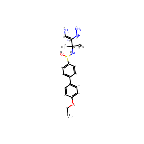 CCOc1ccc(-c2ccc([S+]([O-])NC(C)(C)/C(=C/N)NN)cc2)cc1